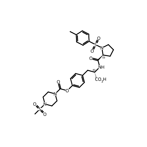 Cc1ccc(S(=O)(=O)N2CCC[C@H]2C(=O)N[C@@H](Cc2ccc(OC(=O)N3CCN(S(C)(=O)=O)CC3)cc2)C(=O)O)cc1